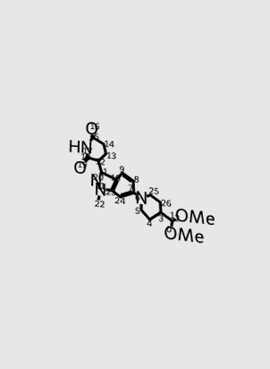 COC(OC)C1CCN(c2ccc3c(C4CCC(=O)NC4=O)nn(C)c3c2)CC1